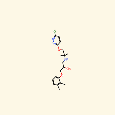 Cc1cccc(OCC(O)CNC(C)(C)COc2ccc(Cl)nn2)c1C